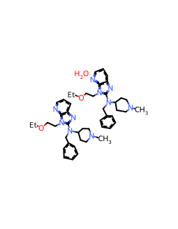 CCOCCn1c(N(Cc2ccccc2)C2CCN(C)CC2)nc2cccnc21.CCOCCn1c(N(Cc2ccccc2)C2CCN(C)CC2)nc2cccnc21.O